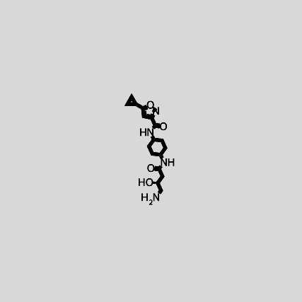 NC[C@@H](O)CC(=O)NC1CCC(NC(=O)c2cc(C3CC3)on2)CC1